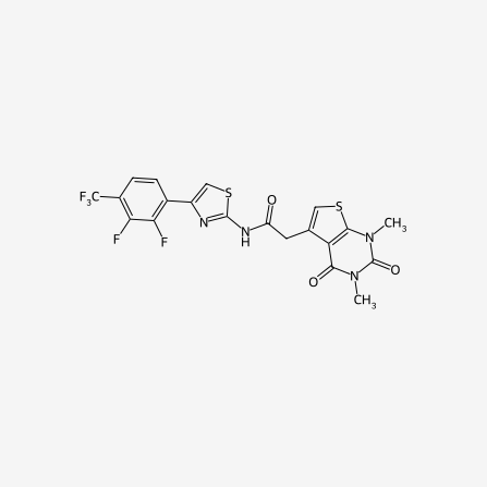 Cn1c(=O)c2c(CC(=O)Nc3nc(-c4ccc(C(F)(F)F)c(F)c4F)cs3)csc2n(C)c1=O